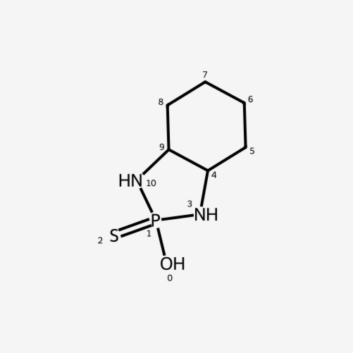 OP1(=S)NC2CCCCC2N1